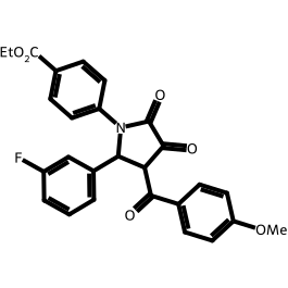 CCOC(=O)c1ccc(N2C(=O)C(=O)C(C(=O)c3ccc(OC)cc3)C2c2cccc(F)c2)cc1